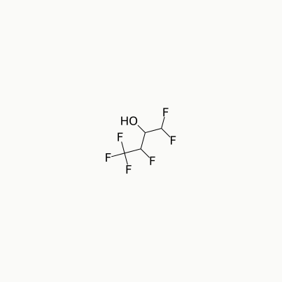 OC(C(F)F)C(F)C(F)(F)F